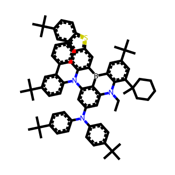 CCN1c2cc(N(c3ccc(C(C)(C)C)cc3)c3ccc(C(C)(C)C)cc3)cc3c2B(c2cc4sc5ccc(C(C)(C)C)cc5c4cc2N3c2ccc(C(C)(C)C)cc2-c2ccccc2)c2cc(C(C)(C)C)cc(C3(C)CCCCC3)c21